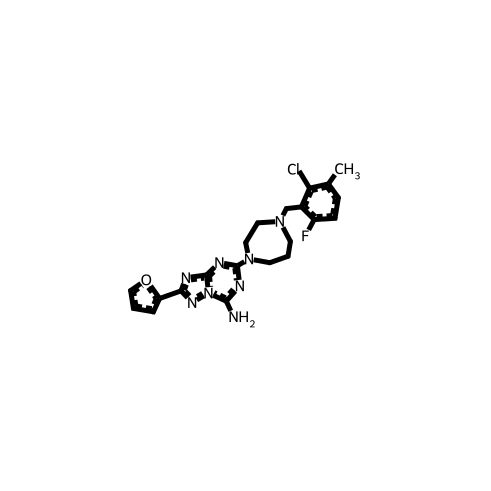 Cc1ccc(F)c(CN2CCCN(c3nc(N)n4nc(-c5ccco5)nc4n3)CC2)c1Cl